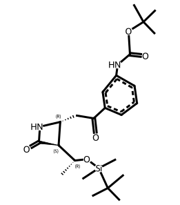 C[C@@H](O[Si](C)(C)C(C)(C)C)[C@H]1C(=O)N[C@@H]1CC(=O)c1cccc(NC(=O)OC(C)(C)C)c1